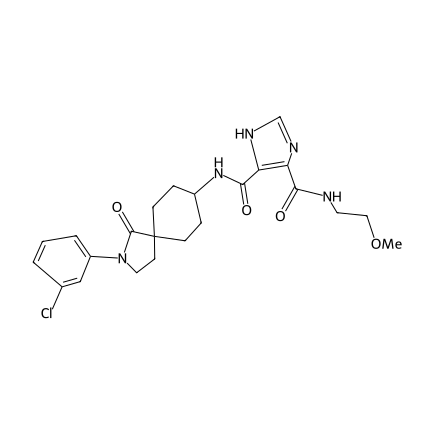 COCCNC(=O)c1nc[nH]c1C(=O)NC1CCC2(CC1)CCN(c1cccc(Cl)c1)C2=O